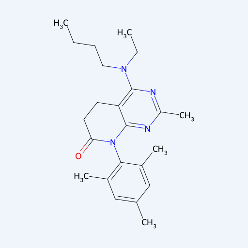 CCCCN(CC)c1nc(C)nc2c1CCC(=O)N2c1c(C)cc(C)cc1C